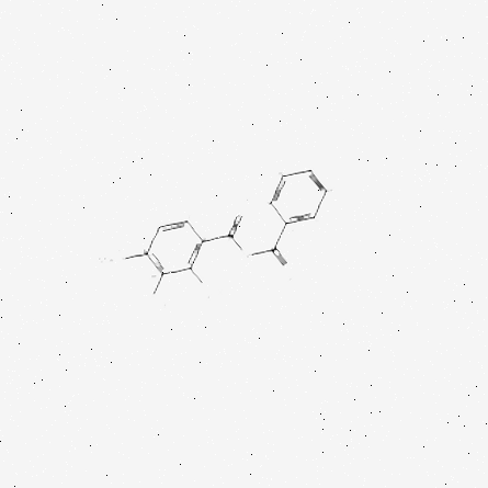 C=C(NC(=O)c1ccc(OC)c(C)c1C)c1ccccc1